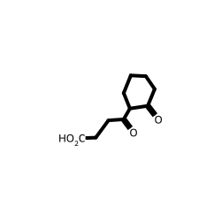 O=C(O)CCC(=O)C1CCCCC1=O